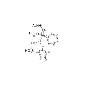 CC(=O)NO[As](=O)(OO)c1ccccc1.Cl.O=S(=O)(O)c1cncs1